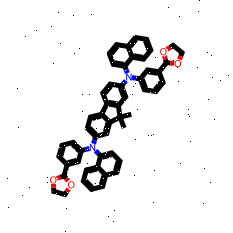 CC1(C)c2cc(N(c3cccc(C4OCCO4)c3)c3cccc4ccccc34)ccc2-c2ccc(N(c3cccc(C4OCCO4)c3)c3cccc4ccccc34)cc21